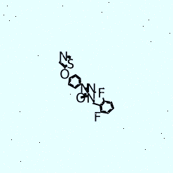 O=c1n(Cc2c(F)cccc2F)cnn1-c1ccc(Oc2cncs2)cc1